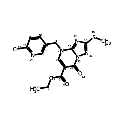 CCOC(=O)c1cn(Cc2ccc(Cl)nc2)c2nc(SC)nn2c1=O